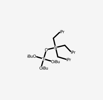 CC(C)C[O][Ti]([O]CC(C)C)([O]CC(C)C)[O][Si](CC(C)C)(CC(C)C)CC(C)C